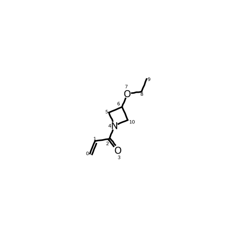 C=CC(=O)N1CC(OCC)C1